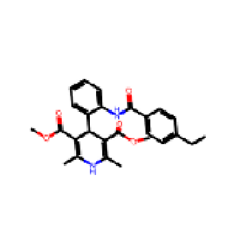 CCc1ccc(C(=O)Nc2ccccc2C2C(C(=O)OC)=C(C)NC(C)=C2C(=O)OC)cc1